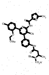 COCOc1cc(Cl)ccc1-c1cc(-c2cccc(NC(=O)CC(C)N(C(=O)O)C(C)(C)C)c2)c(C#N)c(NC(=O)c2ccc(C)o2)n1